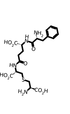 N[C@H](Cc1ccccc1)C(=O)N[C@H](CCC(=O)N[C@H](CSC[C@H](N)C(=O)O)C(=O)O)C(=O)O